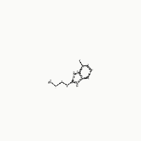 Cc1cccc2[nH]c(CCCC(C)C)nc12